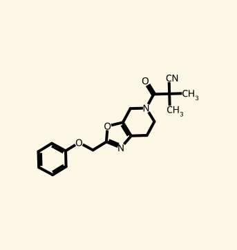 CC(C)(C#N)C(=O)N1CCc2nc(COc3ccccc3)oc2C1